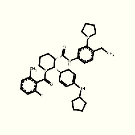 CCc1ccc(NC(=O)[C@H]2CCCN(C(=O)c3c(C)cccc3F)[C@H]2C2C=CC(NC3CCCC3)=CC2)cc1N1CCCC1